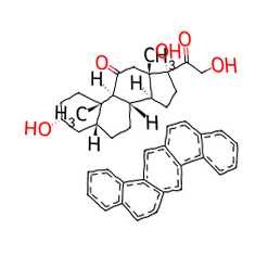 C[C@]12CC[C@@H](O)C[C@H]1CC[C@@H]1[C@@H]2C(=O)C[C@@]2(C)[C@H]1CC[C@]2(O)C(=O)CO.c1ccc2c(c1)ccc1cc3c(ccc4ccccc43)cc12